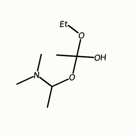 CCOC(C)(O)OC(C)N(C)C